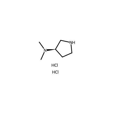 CN(C)[C@@H]1CCNC1.Cl.Cl